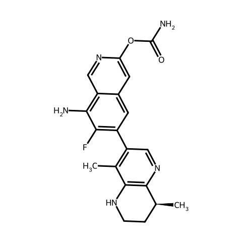 Cc1c(-c2cc3cc(OC(N)=O)ncc3c(N)c2F)cnc2c1NCC[C@@H]2C